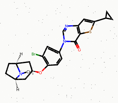 CN1[C@@H]2CC[C@H]1C[C@@H](Oc1ccc(-n3cnc4cc(C5CC5)sc4c3=O)cc1Br)C2